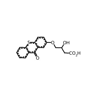 O=C(O)CC(O)COc1ccc2sc3ccccc3c(=O)c2c1